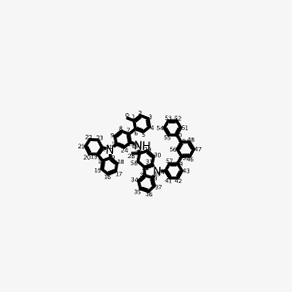 Cc1ccccc1-c1ccc(-n2c3c(c4ccccc42)C=CCC3)cc1NC1(C)C=Cc2c(c3ccccc3n2-c2cccc(-c3cccc(-c4ccccc4)c3)c2)C1